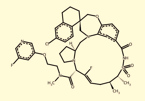 C[C@@H]1[C@@H](C)C/C=C(\F)[C@H](C(=O)N(C)CCOc2cncc(F)c2)N2CCC[C@H]2CN2C[C@@]3(CCCc4cc(Cl)ccc43)COc3ccc(cc32)C(=O)NS1(=O)=O